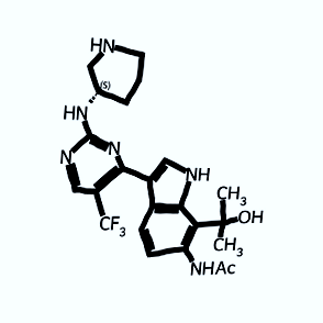 CC(=O)Nc1ccc2c(-c3nc(N[C@H]4CCCNC4)ncc3C(F)(F)F)c[nH]c2c1C(C)(C)O